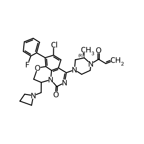 C=CC(=O)N1CCN(c2nc(=O)n3c4c(c(-c5ccccc5F)c(Cl)cc24)OCC3CN2CCC2)C[C@H]1C